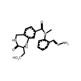 CN(C(=O)c1ccc2c(c1)NC(CC(=O)O)C(=O)NC2)c1ccccc1C=NN